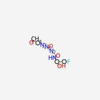 CC(=O)c1ccc(N2CCN(C(=O)CN3CC[C@@H](C(=O)Nc4ccc(O)c(-c5ccc(F)cc5)c4)C3)CC2)cc1